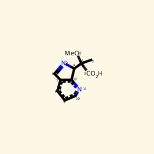 COC(C)(C(=O)O)C1N=Cc2cccnc21